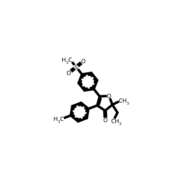 CCC1(C)OC(c2ccc(S(C)(=O)=O)cc2)=C(c2ccc(C)cc2)C1=O